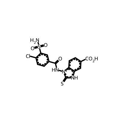 NS(=O)(=O)c1cc(C(=O)Nn2c(=S)[nH]c3cc(C(=O)O)ccc32)ccc1Cl